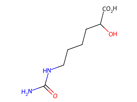 NC(=O)NCCCCC(O)C(=O)O